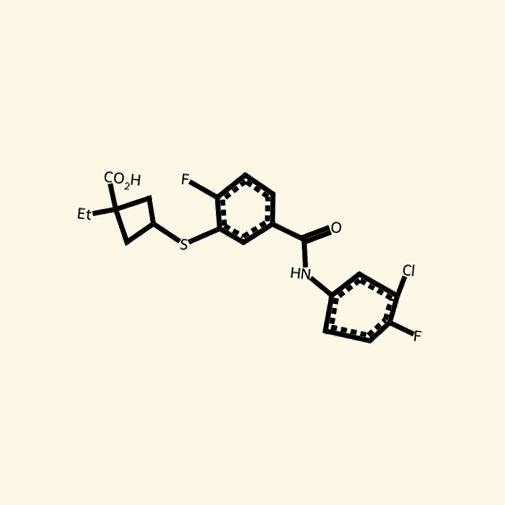 CCC1(C(=O)O)CC(Sc2cc(C(=O)Nc3ccc(F)c(Cl)c3)ccc2F)C1